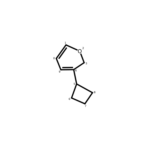 C1=COCC(C2CCC2)=C1